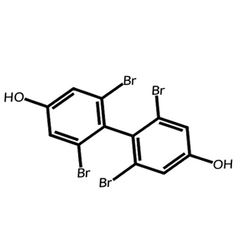 Oc1cc(Br)c(-c2c(Br)cc(O)cc2Br)c(Br)c1